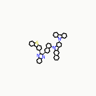 c1ccc2cc3c(cc2c1)c1ccc(-n2c4ccccc4c4ccccc42)cc1n3-c1cccc2cc(-c3nc4ccccc4nc3-c3ccc4sc5ccccc5c4c3)ccc12